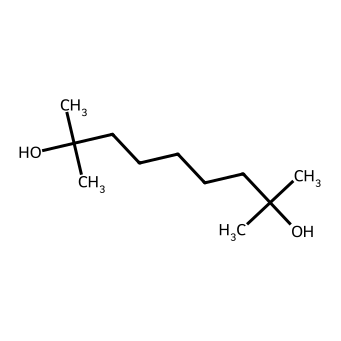 CC(C)(O)CCCCCC(C)(C)O